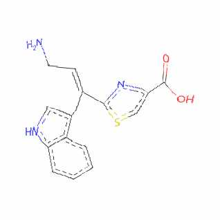 NC/C=C(/c1nc(C(=O)O)cs1)c1c[nH]c2ccccc12